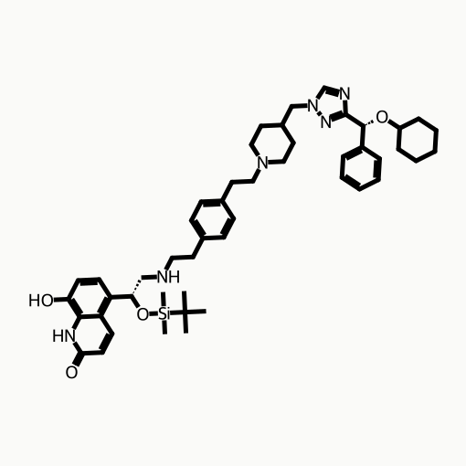 CC(C)(C)[Si](C)(C)O[C@@H](CNCCc1ccc(CCN2CCC(Cn3cnc([C@H](OC4CCCCC4)c4ccccc4)n3)CC2)cc1)c1ccc(O)c2[nH]c(=O)ccc12